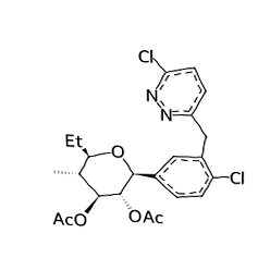 CC[C@H]1O[C@@H](c2ccc(Cl)c(Cc3ccc(Cl)nn3)c2)[C@H](OC(C)=O)[C@@H](OC(C)=O)[C@@H]1C